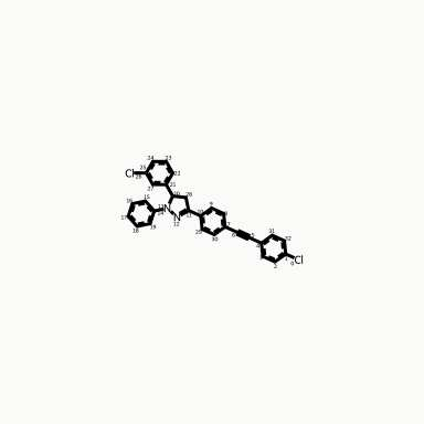 Clc1ccc(C#Cc2ccc(C3=NN(c4ccccc4)C(c4cccc(Cl)c4)C3)cc2)cc1